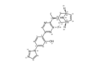 CN(c1ncc(-c2ccc(-n3ccnn3)cc2O)nn1)[C@H]1C[C@@H]2C=C[C@@H](N2)[C@@H]1F